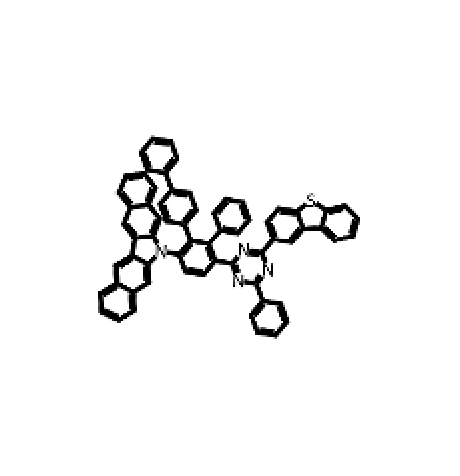 c1ccc(-c2ccc(-c3c(-n4c5cc6ccccc6cc5c5cc6ccccc6cc54)ccc(-c4nc(-c5ccccc5)nc(-c5ccc6sc7ccccc7c6c5)n4)c3-c3ccccc3)cc2)cc1